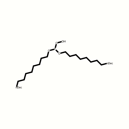 CCCCCCCCCCCCCCCCCCOP(OO)OCCCCCCCCCCCCCCCCCC